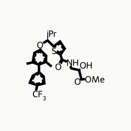 COC(=O)[C@H](O)CNC(=O)c1ccc([C@H](Oc2cc(C)c(-c3ccc(C(F)(F)F)cc3)c(C)c2)C(C)C)s1